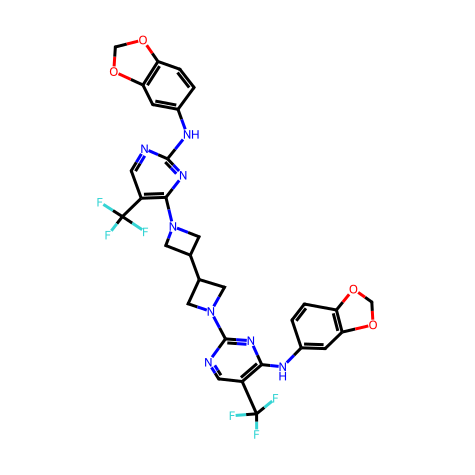 FC(F)(F)c1cnc(N2CC(C3CN(c4nc(Nc5ccc6c(c5)OCO6)ncc4C(F)(F)F)C3)C2)nc1Nc1ccc2c(c1)OCO2